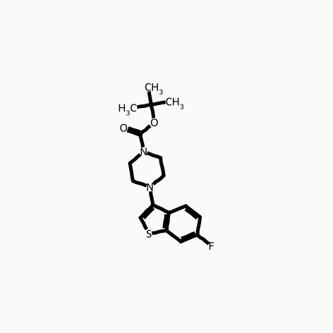 CC(C)(C)OC(=O)N1CCN(c2csc3cc(F)ccc23)CC1